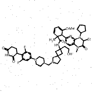 CCC1C(=O)N(C)c2cnc(C3C(OC)=CC=CC3(N)C(=O)NC3(CCO)CC4(CCN(CC5CCN(c6cc(F)c(C7CCC(=O)NC7=O)c(F)c6)CC5)C4)C3)nc2N1C1CCCC1